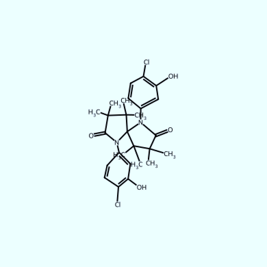 CC1(C)C(=O)N(c2ccc(Cl)c(O)c2)C2(N(c3ccc(Cl)c(O)c3)C(=O)C(C)(C)C2(C)C)C1(C)C